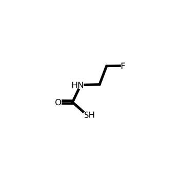 O=C(S)NCCF